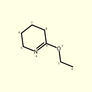 CCOC1=NCCCC1